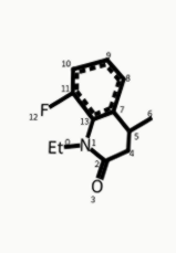 CCN1C(=O)CC(C)c2cccc(F)c21